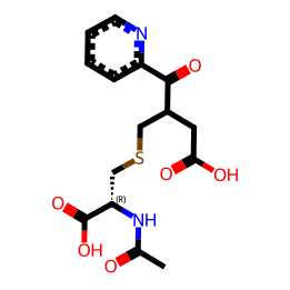 CC(=O)N[C@@H](CSCC(CC(=O)O)C(=O)c1ccccn1)C(=O)O